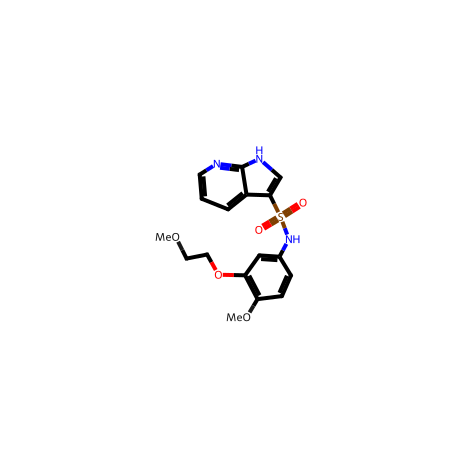 COCCOc1cc(NS(=O)(=O)c2c[nH]c3ncccc23)ccc1OC